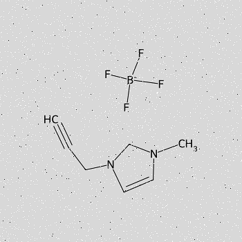 C#CCN1C=CN(C)C1.F[B-](F)(F)F